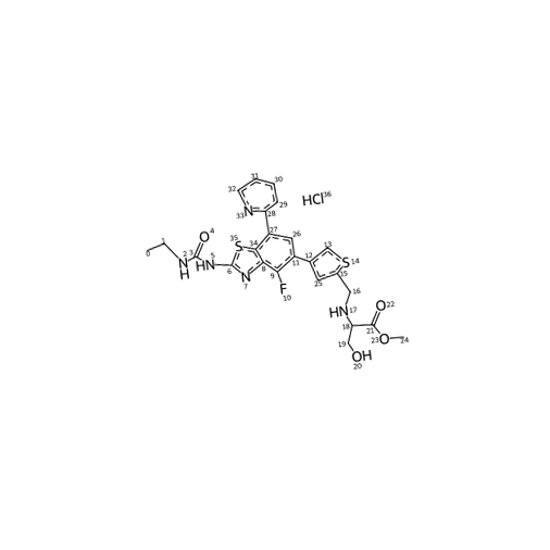 CCNC(=O)Nc1nc2c(F)c(-c3csc(CNC(CO)C(=O)OC)c3)cc(-c3ccccn3)c2s1.Cl